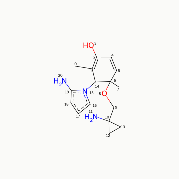 CC1=C(O)C=CC(C)(OCC2(N)CC2)C1n1cccc1N